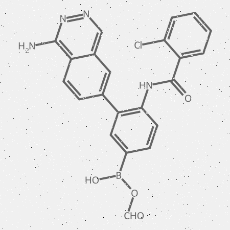 Nc1nncc2cc(-c3cc(B(O)OC=O)ccc3NC(=O)c3ccccc3Cl)ccc12